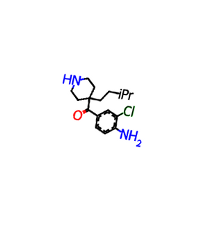 CC(C)CCC1(C(=O)c2ccc(N)c(Cl)c2)CCNCC1